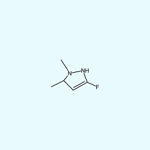 CC1C=C(F)NN1C